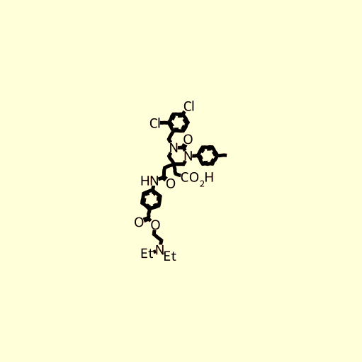 CCN(CC)CCOC(=O)c1ccc(NC(=O)CC2(CC(=O)O)CN(Cc3ccc(Cl)cc3Cl)C(=O)N(c3ccc(C)cc3)C2)cc1